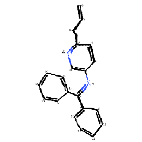 C=CCc1ccc(N=C(c2ccccc2)c2ccccc2)cn1